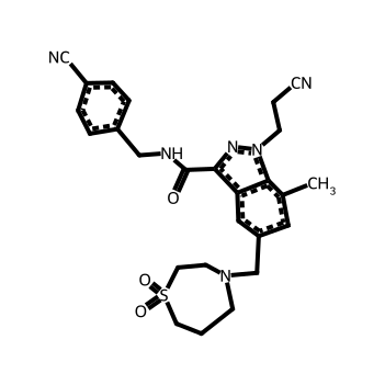 Cc1cc(CN2CCCS(=O)(=O)CC2)cc2c(C(=O)NCc3ccc(C#N)cc3)nn(CCC#N)c12